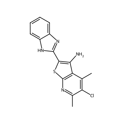 Cc1nc2sc(-c3nc4ccccc4[nH]3)c(N)c2c(C)c1Cl